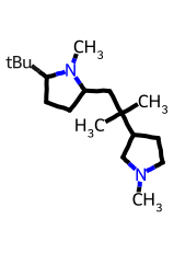 CN1CCC(C(C)(C)CC2CCC(C(C)(C)C)N2C)C1